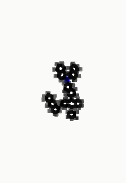 c1ccc(-c2c3ccccc3c(-c3ccc4cc(-n5c6ccc7ccccc7c6c6c7ccccc7ccc65)ccc4c3)c3ccc(-c4cccc5cc6ccccc6cc45)cc23)cc1